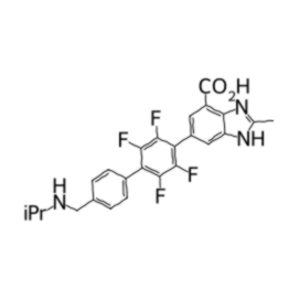 Cc1nc2c(C(=O)O)cc(-c3c(F)c(F)c(-c4ccc(CNC(C)C)cc4)c(F)c3F)cc2[nH]1